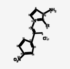 CCc1n(N)cc[n+]1N=C(C)c1ccc([N+](=O)[O-])cc1.[Cl-]